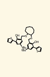 CC(C)(C)c1cc(CSC2CCCCCCC2SCc2cc(C(C)(C)C)cc(-c3cccs3)c2O)c(O)c(-c2cccs2)c1